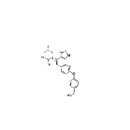 CC(C)C[C@H](C(O)O)[C@H](Cc1ccc(Oc2ccc(CO)cc2)nc1)c1nn[nH]n1